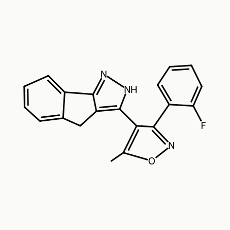 Cc1onc(-c2ccccc2F)c1-c1[nH]nc2c1Cc1ccccc1-2